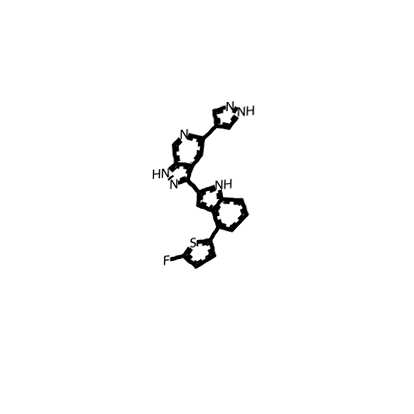 Fc1ccc(-c2cccc3[nH]c(-c4n[nH]c5cnc(-c6cn[nH]c6)cc45)cc23)s1